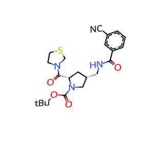 CC(C)(C)OC(=O)N1C[C@@H](CNC(=O)c2cccc(C#N)c2)C[C@H]1C(=O)N1CCSC1